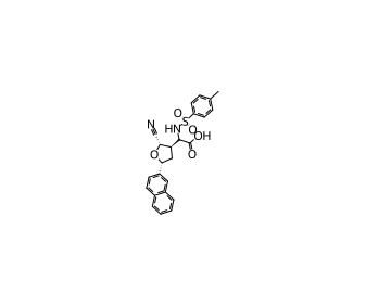 Cc1ccc(S(=O)(=O)NC(C(=O)O)[C@H]2C[C@H](c3ccc4ccccc4c3)O[C@@H]2C#N)cc1